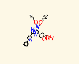 C[Si](C)(C)CCOCN(COCC[Si](C)(C)C)c1cc([C@H]2CC[C@](O)(CO)CC2)nc2c(-c3ccc(-c4ccccc4)nc3)cnn12